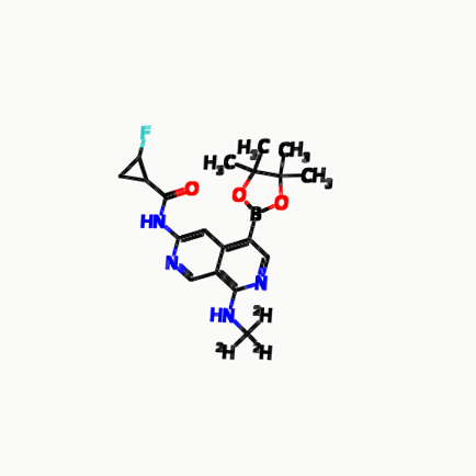 [2H]C([2H])([2H])Nc1ncc(B2OC(C)(C)C(C)(C)O2)c2cc(NC(=O)C3CC3F)ncc12